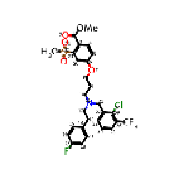 COC(=O)c1ccc(OCCCN(CCc2ccc(F)cc2)Cc2cccc(C(F)(F)F)c2Cl)cc1S(C)(=O)=O